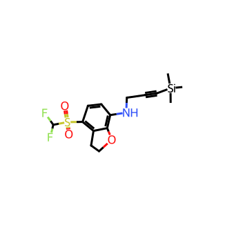 C[Si](C)(C)C#CCNc1ccc(S(=O)(=O)C(F)F)c2c1OCC2